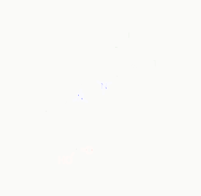 CC1CN(c2ccc(Cl)c(C(F)(F)F)c2)CC(C)N1c1cccc2c1CC(C(=O)O)C2